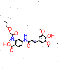 CCCOCC(=O)N(C)c1cc(NC(=O)/C=C/c2cc(OC)c(O)c(OC)c2)ccc1C(=O)O